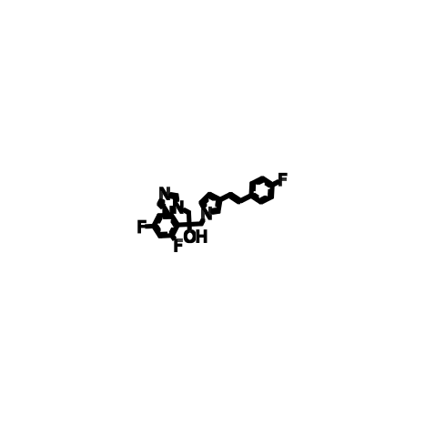 OC(Cn1ccc(/C=C/c2ccc(F)cc2)c1)(Cn1cncn1)c1ccc(F)cc1F